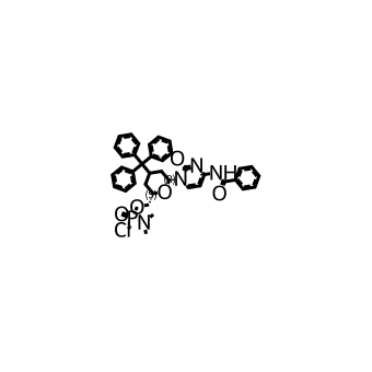 CN(C)P(=O)(Cl)OC[C@@H]1CC(C(c2ccccc2)(c2ccccc2)c2ccccc2)C[C@H](n2ccc(NC(=O)c3ccccc3)nc2=O)O1